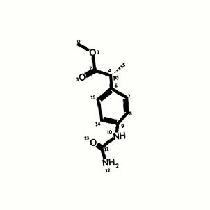 COC(=O)[C@H](C)c1ccc(NC(N)=O)cc1